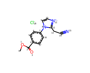 COC(=O)c1ccc(N2C=C[N+]=C2CC#N)cc1.[Cl-]